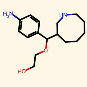 Nc1ccc(C(OCCO)C2CCCCCNC2)cc1